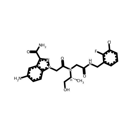 C[C@H](CO)N(CC(=O)NCc1cccc(Cl)c1F)C(=O)Cn1nc(C(N)=O)c2cc(N)ccc21